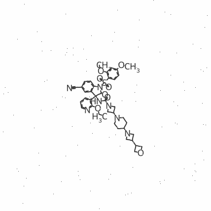 CCOc1ncccc1C1(NC(=O)N2CC(N3CCC(N4CC(C5COC5)C4)CC3)C2)C(=O)N(S(=O)(=O)c2ccc(OC)cc2OC)c2ccc(C#N)cc21